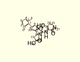 Cc1cccc(C)c1-c1csc(C(CC(=O)O)NC(=O)Nc2c(O)ccn(C)c2=O)c1